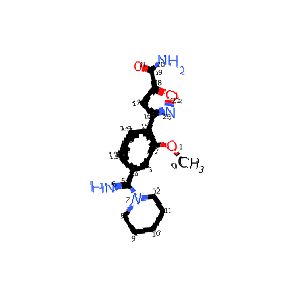 COc1cc(C(=N)N2CCCCC2)ccc1-c1cc(C(N)=O)on1